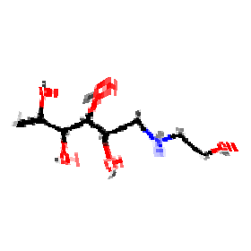 [CH2]C(O)C(O)C(O)C(O)CNCCO